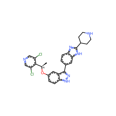 C[C@@H](Oc1ccc2[nH]nc(-c3ccc4nc(C5CCNCC5)[nH]c4c3)c2c1)c1c(Cl)cncc1Cl